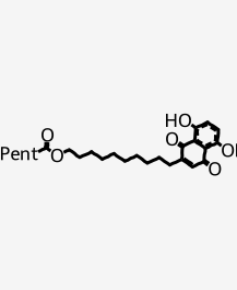 CCCCCC(=O)OCCCCCCCCCCC1=CC(=O)c2c(O)ccc(O)c2C1=O